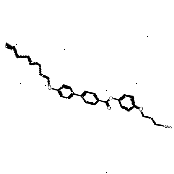 C=CCCCCCCOc1ccc(-c2ccc(C(=O)Oc3ccc(OCCCC(C)CC)cc3)cc2)cc1